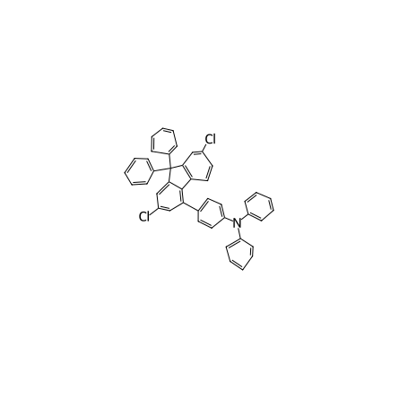 Clc1ccc2c(c1)C(c1ccccc1)(c1ccccc1)c1cc(Cl)cc(-c3ccc(N(c4ccccc4)c4ccccc4)cc3)c1-2